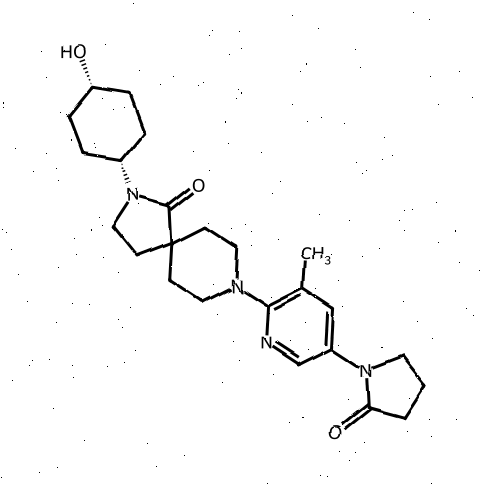 Cc1cc(N2CCCC2=O)cnc1N1CCC2(CC1)CCN([C@H]1CC[C@@H](O)CC1)C2=O